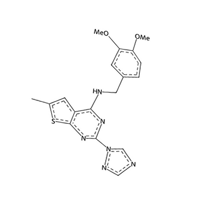 COc1ccc(CNc2nc(-n3cncn3)nc3sc(C)cc23)cc1OC